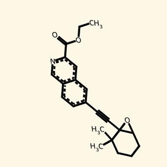 CCOC(=O)c1cc2cc(C#CC34OC3CCCC4(C)C)ccc2cn1